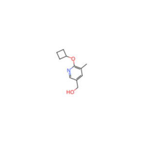 Cc1cc(CO)cnc1OC1CCC1